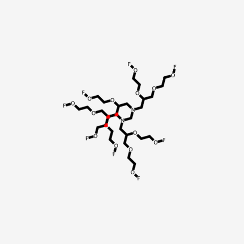 FOCCOCC(CN(CC(COCCOF)OCCOF)CN(CC(COCCOF)OCCOF)CC(COCCOF)OCCOF)OCCOF